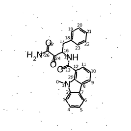 Cn1c2ccccc2c2cccc(C(=O)NC(Cc3ccccc3)C(=O)C(N)=O)c21